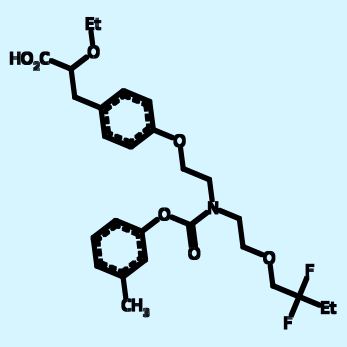 CCOC(Cc1ccc(OCCN(CCOCC(F)(F)CC)C(=O)Oc2cccc(C)c2)cc1)C(=O)O